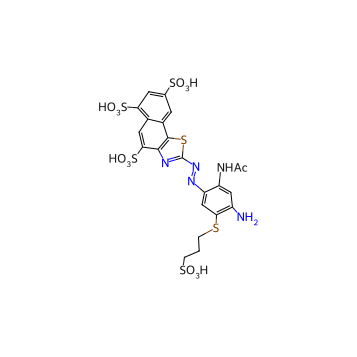 CC(=O)Nc1cc(N)c(SCCCS(=O)(=O)O)cc1N=Nc1nc2c(S(=O)(=O)O)cc3c(S(=O)(=O)O)cc(S(=O)(=O)O)cc3c2s1